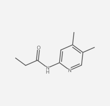 CCC(=O)Nc1cc(C)c(C)cn1